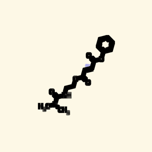 CN(C)C(=O)NCCOC(=O)/C=C/C(=O)Oc1ccccc1